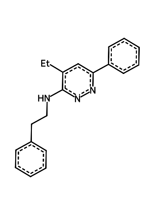 CCc1cc(-c2ccccc2)nnc1NCCc1ccccc1